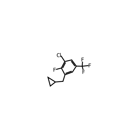 Fc1c(Cl)cc(C(F)(F)F)cc1CC1CC1